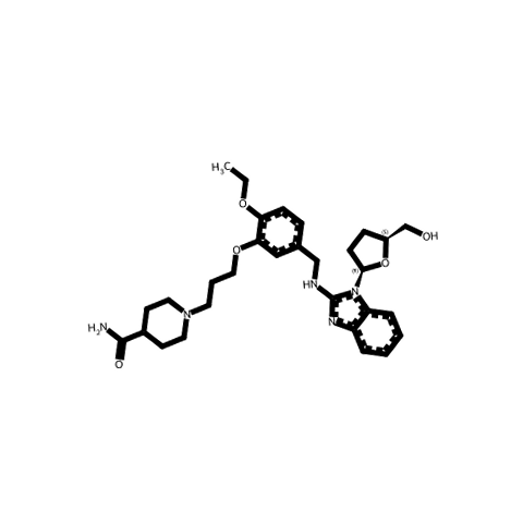 CCOc1ccc(CNc2nc3ccccc3n2[C@H]2CC[C@@H](CO)O2)cc1OCCCN1CCC(C(N)=O)CC1